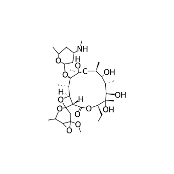 CC[C@H]1OC(=O)[C@H]2[C@@H](OC23CC2(OC)OC2C(C)O3)[C@H](C)[C@@H](OC2CC(NC)CC(C)O2)[C@@](C)(O)C[C@@H](C)[C@H](O)[C@H](C)[C@@H](O)[C@]1(C)O